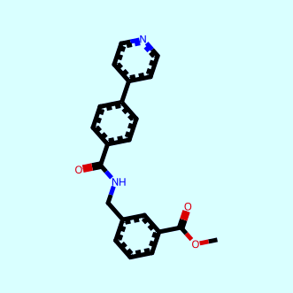 COC(=O)c1cccc(CNC(=O)c2ccc(-c3ccncc3)cc2)c1